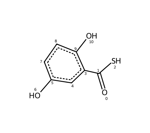 O=C(S)c1cc(O)ccc1O